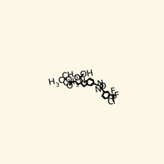 CC(C)(C)OC(=O)CCC1Cc2cc(-c3noc(-c4ccc(Cl)c(C(F)(F)F)c4)n3)ccc2N1C(=O)O